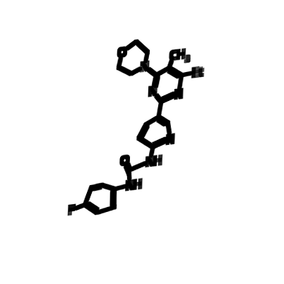 CCc1nc(-c2ccc(NC(=O)Nc3ccc(F)cc3)nc2)nc(N2CCOCC2)c1C